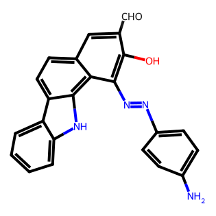 Nc1ccc(N=Nc2c(O)c(C=O)cc3ccc4c5ccccc5[nH]c4c23)cc1